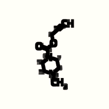 C#CCOC(=O)N1CCN(C)CC1